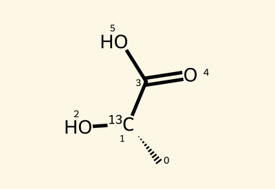 C[13C@H](O)C(=O)O